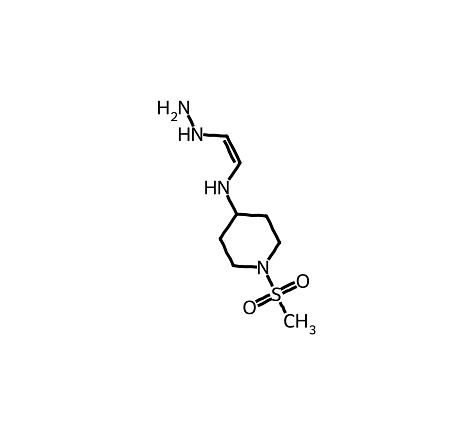 CS(=O)(=O)N1CCC(N/C=C\NN)CC1